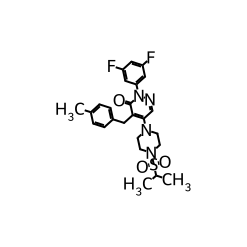 Cc1ccc(Cc2c(N3CCN(S(=O)(=O)C(C)C)CC3)cnn(-c3cc(F)cc(F)c3)c2=O)cc1